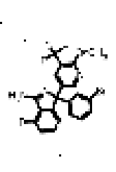 COc1ncc(C2(c3cccc(Br)c3)N=C(N)c3c(F)cccc32)cc1C(F)(F)F